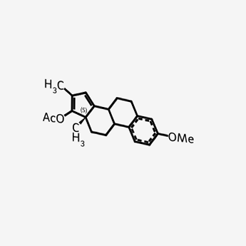 COc1ccc2c(c1)CCC1C3=CC(C)=C(OC(C)=O)[C@@]3(C)CCC21